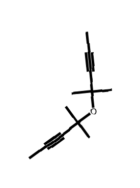 CC#CC(C)(C)OC(C)(C)C#CC